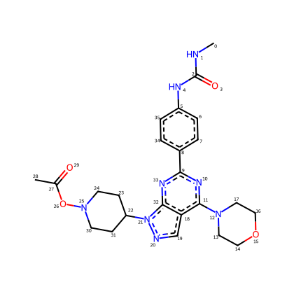 CNC(=O)Nc1ccc(-c2nc(N3CCOCC3)c3cnn(C4CCN(OC(C)=O)CC4)c3n2)cc1